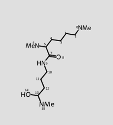 CNCCCCC(NC)C(=O)NCCCC(O)NC